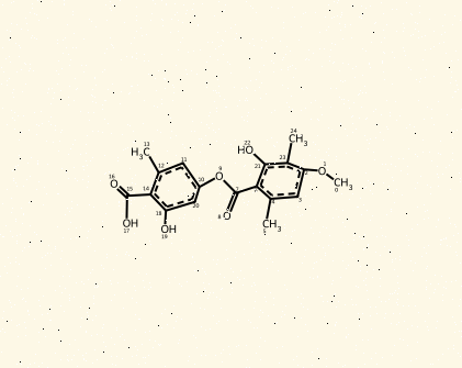 COc1cc(C)c(C(=O)Oc2cc(C)c(C(=O)O)c(O)c2)c(O)c1C